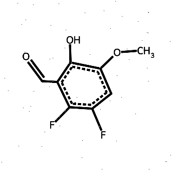 COc1cc(F)c(F)c(C=O)c1O